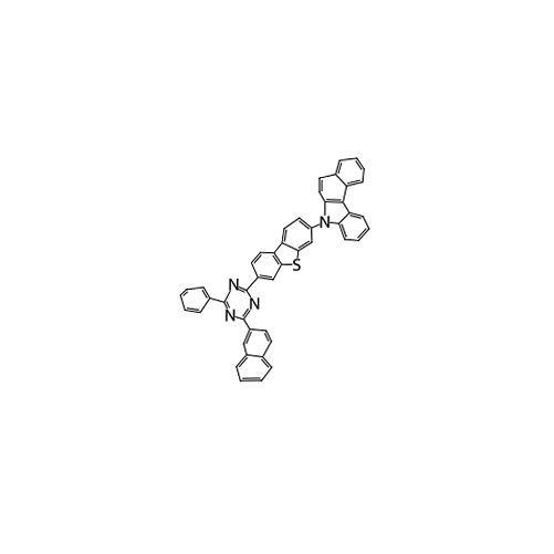 c1ccc(-c2nc(-c3ccc4ccccc4c3)nc(-c3ccc4c(c3)sc3cc(-n5c6ccccc6c6c7ccccc7ccc65)ccc34)n2)cc1